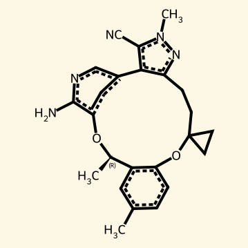 Cc1ccc2c(c1)[C@@H](C)Oc1cc(cnc1N)-c1c(nn(C)c1C#N)CCC1(CC1)O2